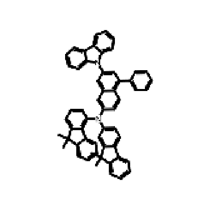 CC1(C)c2ccccc2-c2ccc(N(c3ccc4c(-c5ccccc5)cc(-n5c6ccccc6c6ccccc65)cc4c3)c3cccc4c3-c3ccccc3C4(C)C)cc21